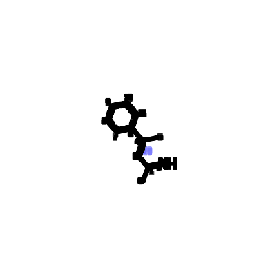 CC(=N)/C=C(\C)c1ccccc1